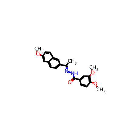 COc1ccc2cc(/C(C)=N/NC(=O)c3ccc(OC)c(OC)c3)ccc2c1